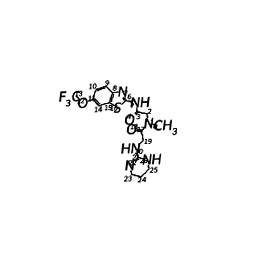 CN(CC(=O)Nc1nc2ccc(OC(F)(F)F)cc2s1)C(=O)CNC1=NCCCN1